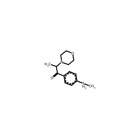 C[SH2]c1ccc(C(=O)C(C)N2CCOCC2)cc1